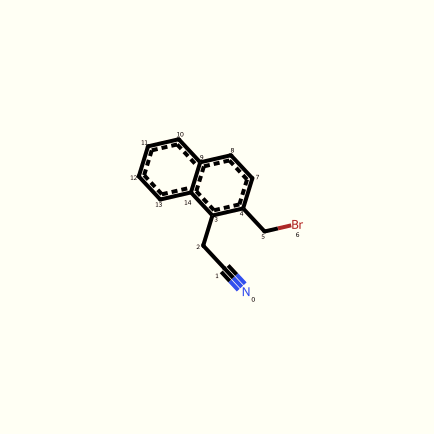 N#CCc1c(CBr)ccc2ccccc12